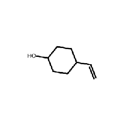 [CH]=CC1CCC(O)CC1